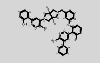 Nc1nnc(-c2c(F)cccc2Oc2cccc(CN3C[C@@H]4CN(c5cc(-c6ccccc6O)nnc5N)C[C@@H]4C3)c2)cc1-c1ccccc1